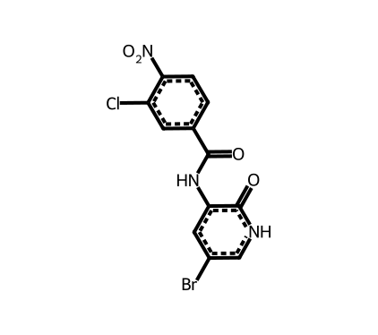 O=C(Nc1cc(Br)c[nH]c1=O)c1ccc([N+](=O)[O-])c(Cl)c1